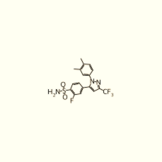 Cc1ccc(-n2nc(C(F)(F)F)cc2-c2ccc(S(N)(=O)=O)c(F)c2)cc1C